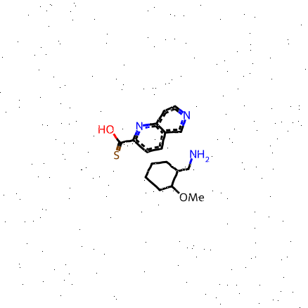 COC1CCCCC1CN.OC(=S)c1ccc2cnccc2n1